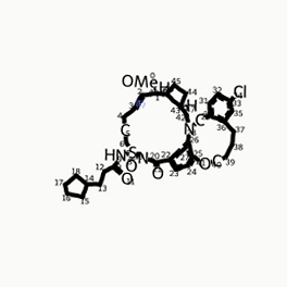 CO[C@H]1/C=C/CCCS(=O)(NC(=O)CCC2CCCC2)=NC(=O)c2ccc3c(c2)N(Cc2ccc(Cl)cc2CCCCO3)C[C@@H]2CC[C@H]21